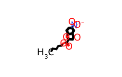 CCCCCOC(=O)c1cc(=O)c2cc([N+](=O)[O-])ccc2o1